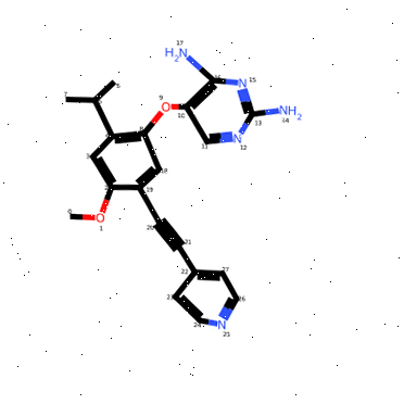 COc1cc(C(C)C)c(Oc2cnc(N)nc2N)cc1C#Cc1ccncc1